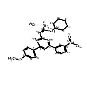 COc1ccc(-c2cc(-c3cccc([N+](=O)[O-])c3)nc(N=C(N)NC3CCCCC3)n2)cc1.Cl